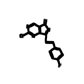 Fc1ccc(C=Cc2n[nH]c3cnc(Cl)nc23)cc1